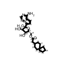 C[C@@]1(c2ccc3c(N)ncnn23)O[C@H](COC(=O)CC2CCC3(CCCC3)CC2)[C@@H](O)[C@H]1O